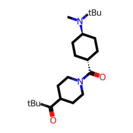 CN([C@H]1CC[C@H](C(=O)N2CCC(C(=O)C(C)(C)C)CC2)CC1)C(C)(C)C